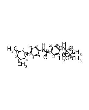 C[C@@H]1C[C@@H](C)CN(c2ccc(NC(=O)c3ccc(NS(=O)(=O)C(C)(C)C)cc3)cc2)C1